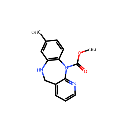 CC(C)(C)OC(=O)N1c2ccc(C=O)cc2NCc2cccnc21